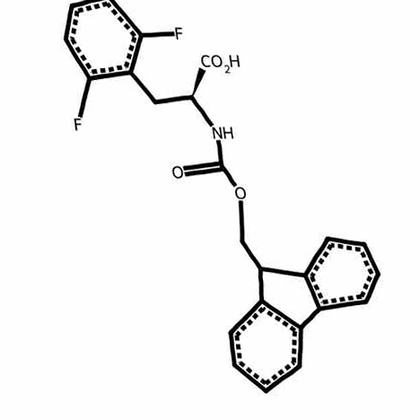 O=C(N[C@@H](Cc1c(F)cccc1F)C(=O)O)OCC1c2ccccc2-c2ccccc21